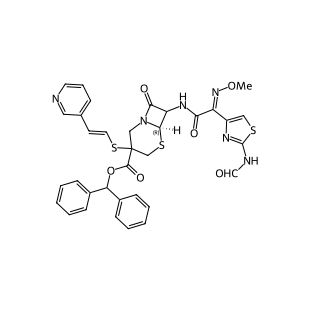 CON=C(C(=O)NC1C(=O)N2CC(SC=Cc3cccnc3)(C(=O)OC(c3ccccc3)c3ccccc3)CS[C@H]12)c1csc(NC=O)n1